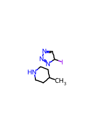 CC1CCNCC1.IC1C=NN=N1